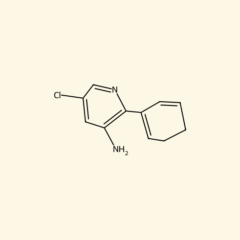 Nc1cc(Cl)cnc1C1=CCCC=C1